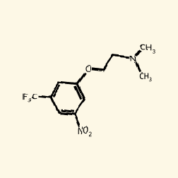 CN(C)CCOc1cc([N+](=O)[O-])cc(C(F)(F)F)c1